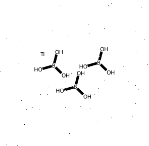 OB(O)O.OB(O)O.OB(O)O.[Ti]